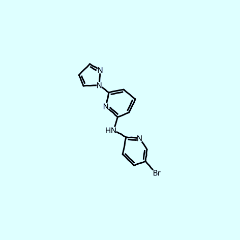 Brc1ccc(Nc2cccc(-n3cccn3)n2)nc1